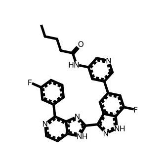 CCCCC(=O)Nc1cncc(-c2cc(F)c3[nH]nc(-c4nc5c(-c6cccc(F)c6)nccc5[nH]4)c3c2)c1